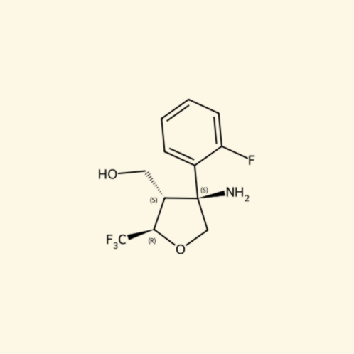 N[C@@]1(c2ccccc2F)CO[C@@H](C(F)(F)F)[C@@H]1CO